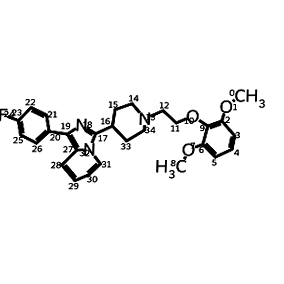 COc1cccc(OC)c1OCCN1CCC(c2nc(-c3ccc(F)cc3)c3ccccn23)CC1